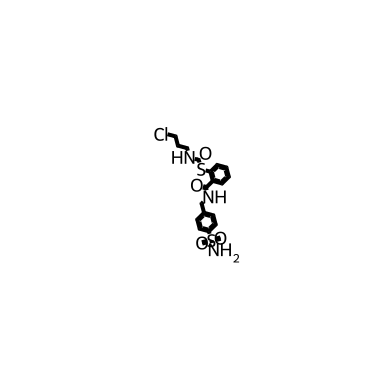 NS(=O)(=O)c1ccc(CNC(=O)c2ccccc2SC(=O)NCCCCl)cc1